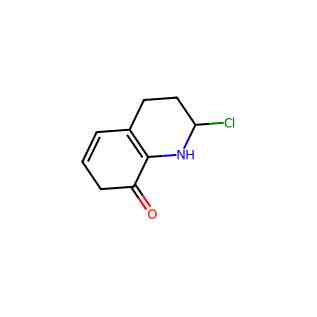 O=C1CC=CC2=C1NC(Cl)CC2